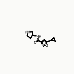 O=C(NC1CCNC1)c1cc(C2CC2)on1